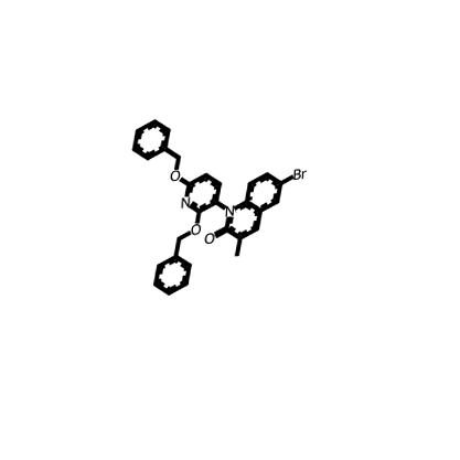 Cc1cc2cc(Br)ccc2n(-c2ccc(OCc3ccccc3)nc2OCc2ccccc2)c1=O